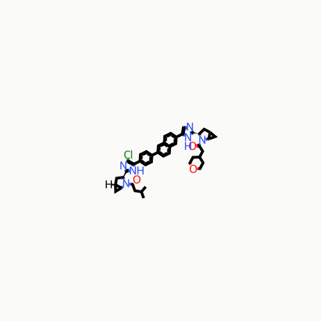 CC(C)CC(=O)N1C2C[C@@H]2C[C@H]1c1nc(Cl)c(-c2ccc(-c3ccc4cc(-c5cnc([C@@H]6CC7CC7N6C(=O)CC6CCOCC6)[nH]5)ccc4c3)cc2)[nH]1